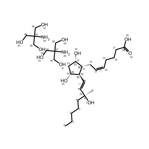 CCCCC[C@](C)(O)/C=C/[C@@H]1[C@@H](C/C=C\CCCC(=O)O)[C@@H](O)C[C@H]1O.NC(CO)(CO)CO.NC(CO)(CO)CO